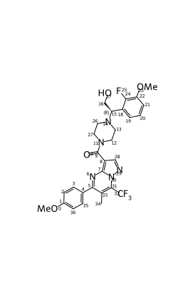 COc1ccc(-c2nc3c(C(=O)N4CCN([C@@H](CO)c5cccc(OC)c5F)CC4)cnn3c(C(F)(F)F)c2C)cc1